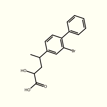 CC(CC(O)C(=O)O)c1ccc(-c2ccccc2)c(Br)c1